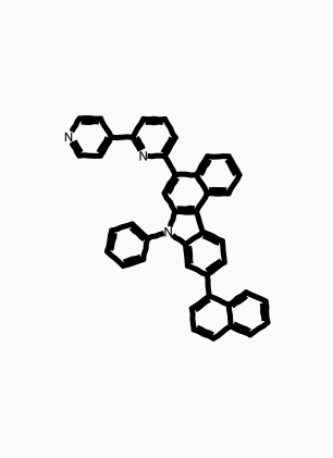 c1ccc(-n2c3cc(-c4cccc5ccccc45)ccc3c3c4ccccc4c(-c4cccc(-c5ccncc5)n4)cc32)cc1